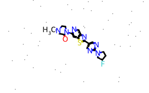 CN1CCN(c2cc3sc(-c4cnc(N5CC[C@@H](F)C5)nc4)nc3cn2)C(=O)C1